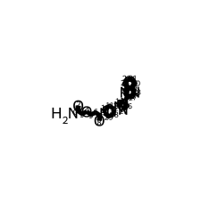 NC(=O)COCCC(=O)N1CCC(n2cc(-c3cnc4ccccc4n3)cn2)CC1